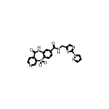 O=C(NCc1cnc(-n2cccn2)s1)c1ccc2c(c1)NC(=O)c1ccncc1S2(=O)=O